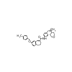 Cc1ccc(COc2ccc3c(c2)C=C(C(=O)Nc2ccc(CN(C)C4CCOCC4)cc2)CCC3)cc1